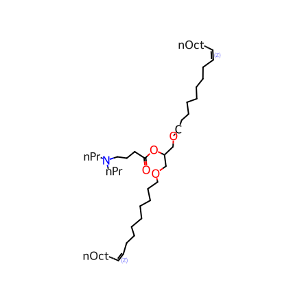 CCCCCCCC/C=C\CCCCCCCCOCC(COCCCCCCCC/C=C\CCCCCCCC)OC(=O)CCCN(CCC)CCC